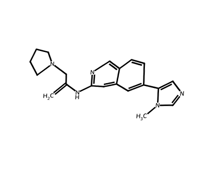 C=C(CN1CCCC1)Nc1cc2cc(-c3cncn3C)ccc2cn1